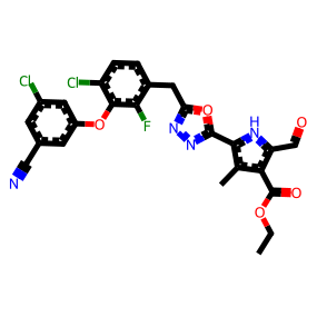 CCOC(=O)c1c(C=O)[nH]c(-c2nnc(Cc3ccc(Cl)c(Oc4cc(Cl)cc(C#N)c4)c3F)o2)c1C